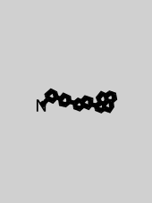 N#Cc1cccc(-c2ccc(-c3ccc4cc(-c5ccc6ccc7cccc8ccc5c6c78)ccc4c3)cc2)c1